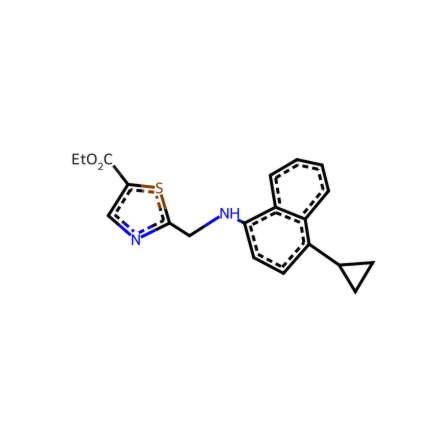 CCOC(=O)c1cnc(CNc2ccc(C3CC3)c3ccccc23)s1